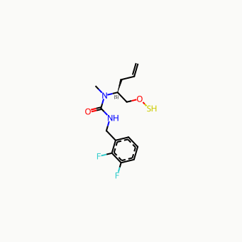 C=CC[C@@H](COS)N(C)C(=O)NCc1cccc(F)c1F